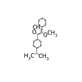 COC(=C(OC)c1ccc(C(C)C)cc1)c1ccccc1